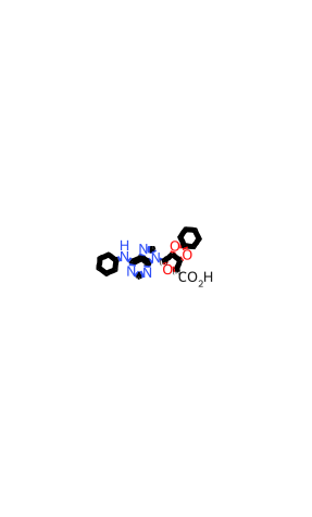 O=C(O)[C@H]1O[C@@H](n2cnc3c(NC4CCCCC4)ncnc32)C2OC3(CCCCC3)OC21